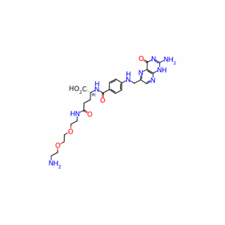 NCCOCCOCCNC(=O)CC[C@@H](NC(=O)c1ccc(NCc2cnc3[nH]c(N)nc(=O)c3n2)cc1)C(=O)O